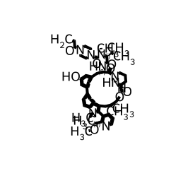 C=CC(=O)N1CCN(C(=O)N(C)[C@H](C(=O)N[C@H]2Cc3cc(O)cc(c3)-c3ccc4c(c3)c(c(-c3cccnc3[C@H](C)OC)n4C)CC(C)(C)COC(=O)[C@@H]3CCCN(N3)C2=O)C(C)C)CC1